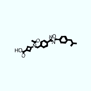 CC(=O)N(Cc1ccc(-c2noc(-c3ccc(CC(C)C)cc3)n2)cc1)C1CC(C(=O)O)C1